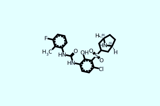 Cc1c(F)cccc1NC(=O)Nc1ccc(Cl)c(S(=O)(=O)C2C[C@H]3CC[C@@H](C2)N3)c1O